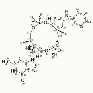 Cc1nc2c(ncn2[C@@H]2O[C@@H]3COP(=O)(S)O[C@H]4C[C@H](Nc5ccncn5)C[C@@H]4COP(=O)(S)O[C@@H]2[C@@H]3O)c(=O)[nH]1